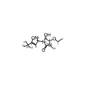 CCO[C@@H]1C(O)N(c2cc(C(C)(C)C)on2)C(=O)N1C